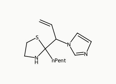 C=CC(n1ccnc1)C1(CCCCC)NCCS1